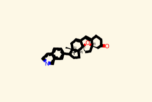 C[C@@]12CC=C3C=C4CCC(=O)C[C@]45CC[C@]3(O5)[C@@H]1CCC2c1ccc2ccncc2c1